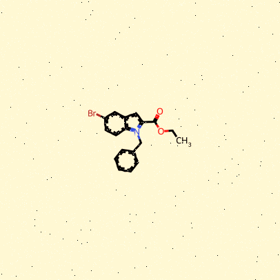 CCOC(=O)c1cc2cc(Br)ccc2n1Cc1ccccc1